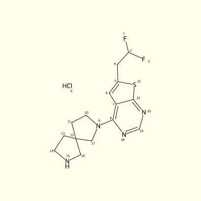 Cl.FC(F)Cc1cc2c(N3CCC4(CCNC4)C3)ncnc2s1